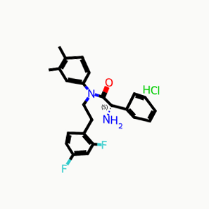 Cc1ccc(N(CCc2ccc(F)cc2F)C(=O)[C@@H](N)c2ccccc2)cc1C.Cl